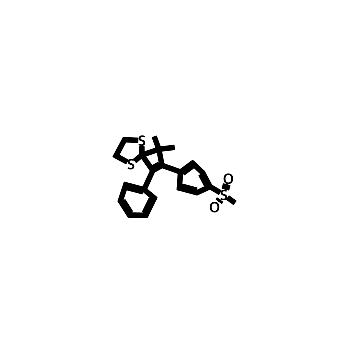 CC1(C)C(c2ccc(S(C)(=O)=O)cc2)=C(c2ccccc2)C12SCCS2